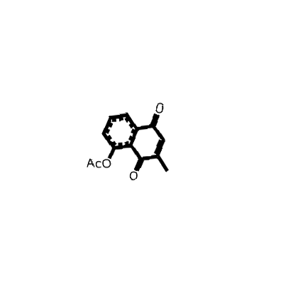 CC(=O)Oc1cccc2c1C(=O)C(C)=CC2=O